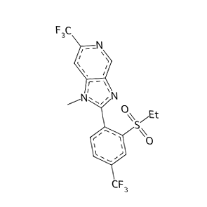 CCS(=O)(=O)c1cc(C(F)(F)F)ccc1-c1nc2cnc(C(F)(F)F)cc2n1C